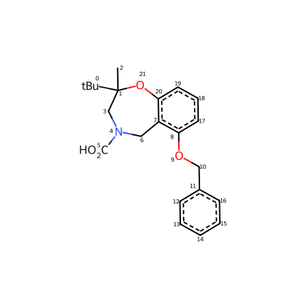 CC(C)(C)C1(C)CN(C(=O)O)Cc2c(OCc3ccccc3)cccc2O1